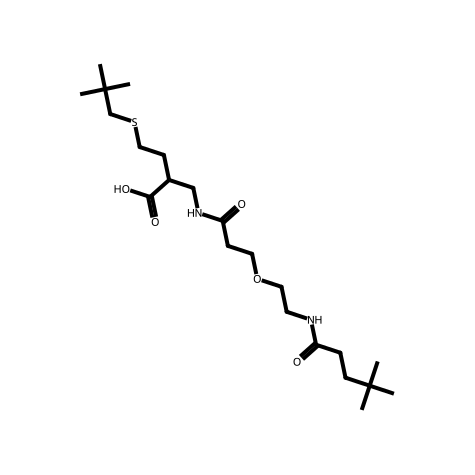 CC(C)(C)CCC(=O)NCCOCCC(=O)NCC(CCSCC(C)(C)C)C(=O)O